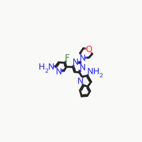 Nc1cc(F)c(-c2cc(-c3nc4ccccc4cc3N)nc(N3CCOCC3)n2)cn1